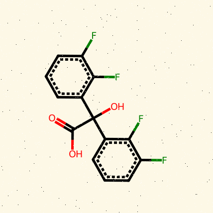 O=C(O)C(O)(c1cccc(F)c1F)c1cccc(F)c1F